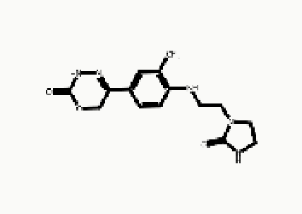 O=C1NN=C(c2ccc(NCCN3CCNC3=O)c(C(F)(F)F)c2)CO1